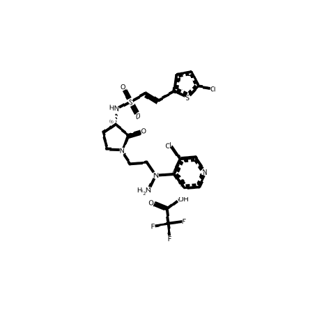 NN(CCN1CC[C@H](NS(=O)(=O)C=Cc2ccc(Cl)s2)C1=O)c1ccncc1Cl.O=C(O)C(F)(F)F